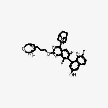 CCc1c(F)ccc2cc(O)cc(-c3c(F)cc4c(N5CC6CCC(C5)N6)nc(OCCCN5C6CC[C@H]5COC6)nc4c3F)c12